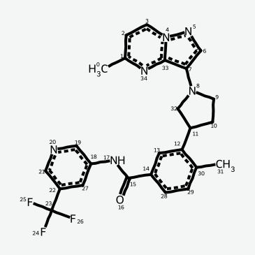 Cc1ccn2ncc(N3CCC(c4cc(C(=O)Nc5cncc(C(F)(F)F)c5)ccc4C)C3)c2n1